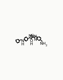 Cn1nc(-c2ccc(NCc3ccccc3)cc2)c(O)c1-c1nc2cc(CN)ccc2[nH]1